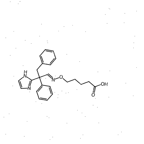 O=C(O)CCCCO/N=C/C(Cc1ccccc1)(c1ccccc1)c1ncc[nH]1